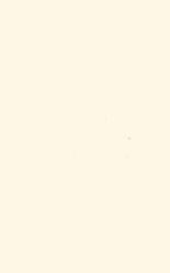 CC(C)Oc1cc(Cl)c2c(c1)CCC2